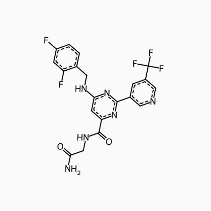 NC(=O)CNC(=O)c1cc(NCc2ccc(F)cc2F)nc(-c2cncc(C(F)(F)F)c2)n1